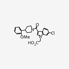 COc1ccccc1C1CCN(C(=O)c2cn(CC(=O)O)c3cc(Cl)ccc23)CC1